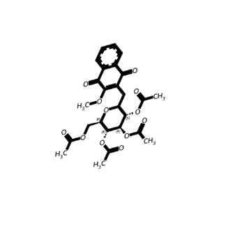 COC1=C(CC2O[C@H](COC(C)=O)[C@@H](OC(C)=O)[C@H](OC(C)=O)[C@H]2OC(C)=O)C(=O)c2ccccc2C1=O